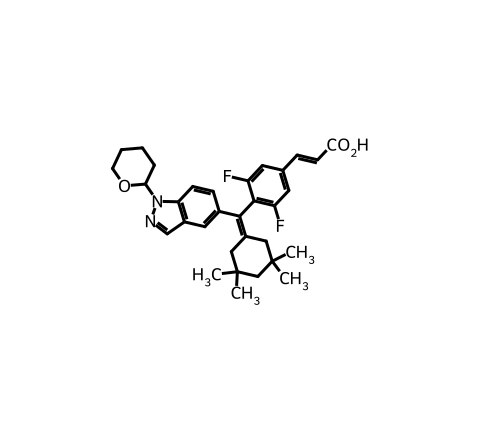 CC1(C)CC(=C(c2ccc3c(cnn3C3CCCCO3)c2)c2c(F)cc(C=CC(=O)O)cc2F)CC(C)(C)C1